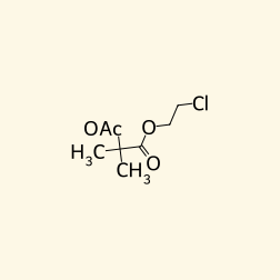 CC(=O)OC(C)(C)C(=O)OCCCl